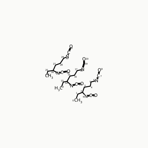 CCC(CCCN=C=O)N=C=O.CCC(CCCN=C=O)N=C=O.CCC(CCCN=C=O)N=C=O